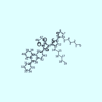 CCCCCCc1ccsc1-c1cc(CCCCCC)c(-c2sc(-c3ccc(C=C(c4ccccc4)c4ccccc4)cc3)c3c2OCCO3)s1